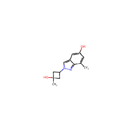 CC1(O)CC(n2cc3cc(O)cc(C(F)(F)F)c3n2)C1